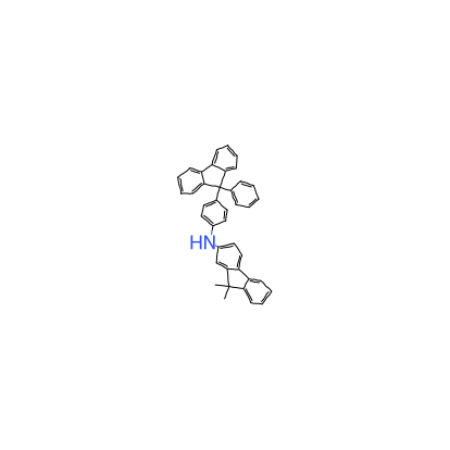 CC1(C)c2ccccc2-c2ccc(Nc3ccc(C4(c5ccccc5)c5ccccc5-c5ccccc54)cc3)cc21